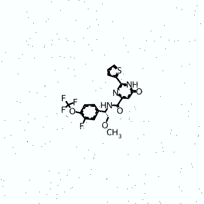 COC[C@@H](NC(=O)c1cc(=O)[nH]c(-c2cccs2)n1)c1ccc(OC(F)(F)F)c(F)c1